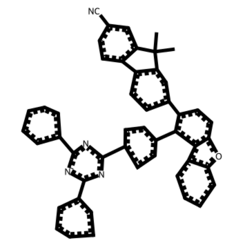 CC1(C)c2cc(C#N)ccc2-c2ccc(-c3ccc4oc5ccccc5c4c3-c3ccc(-c4nc(-c5ccccc5)nc(-c5ccccc5)n4)cc3)cc21